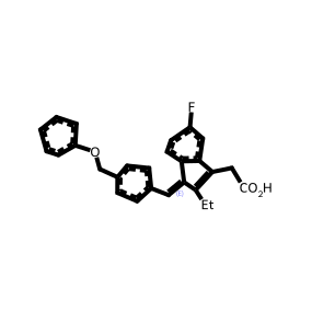 CCC1=C(CC(=O)O)c2cc(F)ccc2/C1=C\c1ccc(COc2ccccc2)cc1